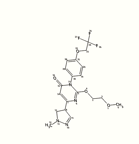 COCCOc1nc(C2C=NN(C)C2)cc(=O)n1-c1ccc(OCC(F)(F)F)cc1